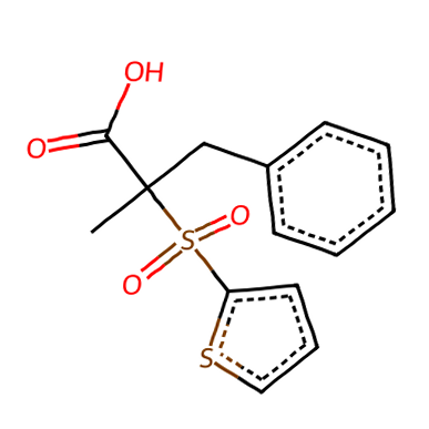 CC(Cc1ccccc1)(C(=O)O)S(=O)(=O)c1cccs1